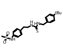 CC(C)(C)c1ccc(CNC(=S)NCCc2ccc(NS(C)(=O)=O)cc2)cc1